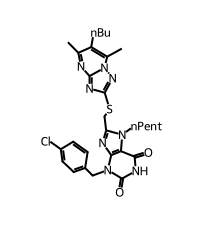 CCCCCn1c(CSc2nc3nc(C)c(CCCC)c(C)n3n2)nc2c1c(=O)[nH]c(=O)n2Cc1ccc(Cl)cc1